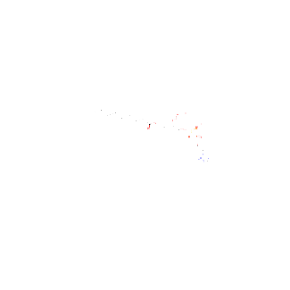 CCCCCCCCCCCCCCCCCC(=O)OC[C@H](COP(=O)([O-])OCC[N+](C)(C)C)OO